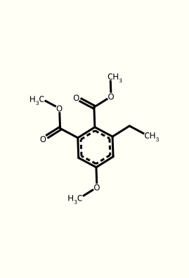 CCc1cc(OC)cc(C(=O)OC)c1C(=O)OC